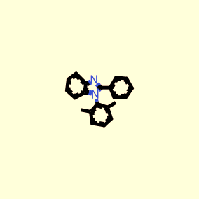 Cc1cccc(C)c1-n1c(-c2ccccc2)nc2ccccc21